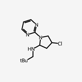 CC(C)(C)CNC1CC(Cl)CN1c1ncccn1